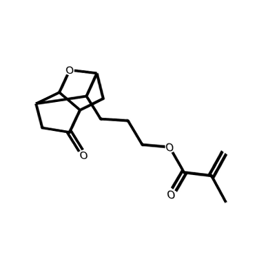 C=C(C)C(=O)OCCCC1C2CC3C(=O)CC1C3O2